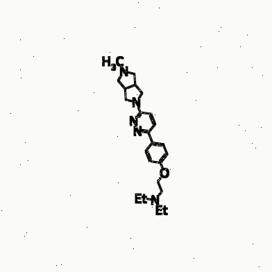 CCN(CC)CCOc1ccc(-c2ccc(N3CC4CN(C)CC4C3)nn2)cc1